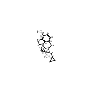 C[N@@+]1(CC2CC2)CC[C@@]23COc4c(O)ccc(c42)CC1C3O